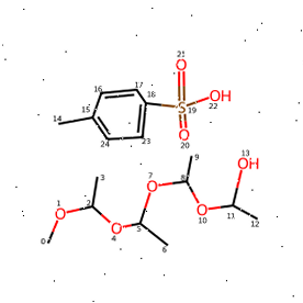 COC(C)OC(C)OC(C)OC(C)O.Cc1ccc(S(=O)(=O)O)cc1